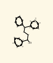 [CH2]CC(CCC(c1ccccc1)c1cccnc1)c1ccccc1